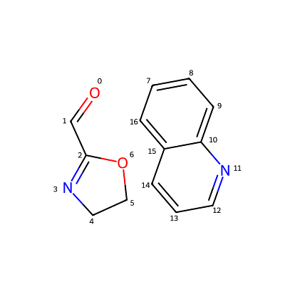 O=CC1=NCCO1.c1ccc2ncccc2c1